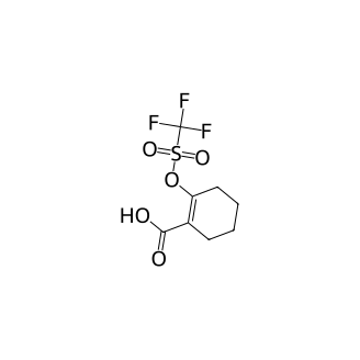 O=C(O)C1=C(OS(=O)(=O)C(F)(F)F)CCCC1